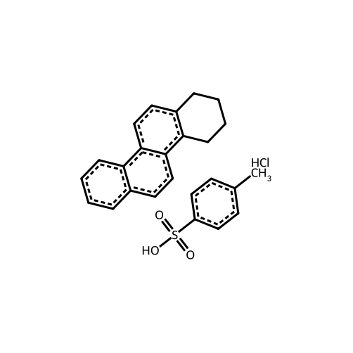 Cc1ccc(S(=O)(=O)O)cc1.Cl.c1ccc2c(c1)ccc1c3c(ccc12)CCCC3